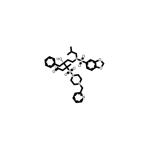 CC(C)CN(CC[C@](O)(Cc1ccccc1)C(C)(CC(N)=O)S(=O)(=O)N1CCN(Cc2ccccn2)CC1)S(=O)(=O)c1ccc2c(c1)OCO2